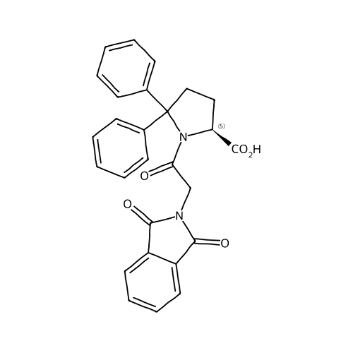 O=C(O)[C@@H]1CCC(c2ccccc2)(c2ccccc2)N1C(=O)CN1C(=O)c2ccccc2C1=O